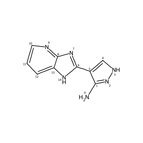 Nc1n[nH]cc1-c1nc2ncccc2[nH]1